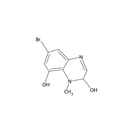 CN1c2c(O)cc(Br)cc2N=CC1O